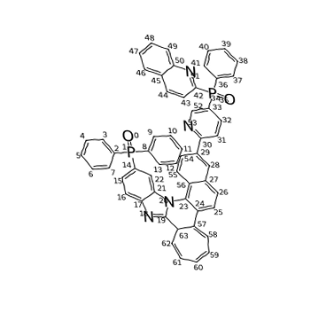 O=P(c1ccccc1)(c1ccccc1)c1ccc2nc3n(c2c1)-c1c(ccc2cc(-c4ccc(P(=O)(c5ccccc5)c5ccc6ccccc6n5)cn4)ccc12)C1=CC=CC=CC13